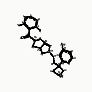 Cc1ncnc(C)c1C(=O)N1CC2=CN(CCC3(c4cccc(F)c4)CNC3)CC2C1